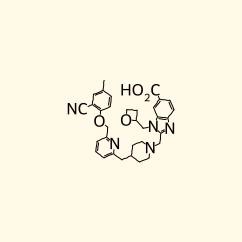 Cc1ccc(OCc2cccc(CC3CCN(Cc4nc5ccc(C(=O)O)cc5n4CC4CCO4)CC3)n2)c(C#N)c1